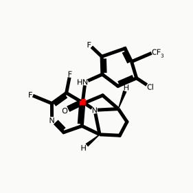 O=C(Nc1cc(Cl)c(C(F)(F)F)cc1F)N1[C@H]2CC[C@@H]1c1cnc(F)c(F)c1C2